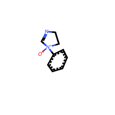 [O-][N+]1(c2ccccc2)C=NCC1